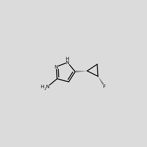 Nc1cc([C@@H]2C[C@@H]2F)[nH]n1